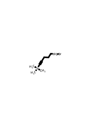 C[Si](C)(C)C#CCC[CH2][Mg][Br]